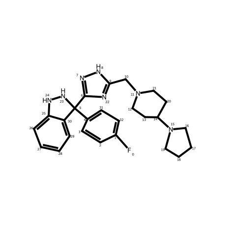 Fc1ccc(C2(c3n[nH]c(CN4CCC(N5CCCC5)CC4)n3)NNc3ccccc32)cc1